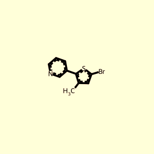 Cc1cc(Br)sc1-c1cccnc1